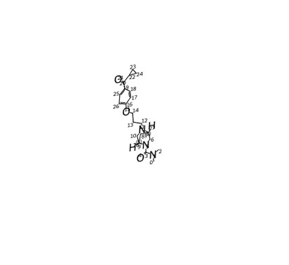 CN(C)C(=O)N1C[C@@H]2C[C@H]1CN2CCCOc1ccc(C(=O)C2CC2)cc1